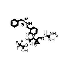 N=C(N)NOCC1(C(C(N)=O)n2cccc(CNS(=O)(=O)Cc3ccccc3)c2=O)CC1.O=C(O)C(F)(F)F